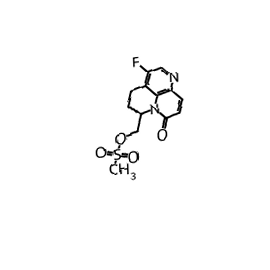 CS(=O)(=O)OCC1CCc2c(F)cnc3ccc(=O)n1c23